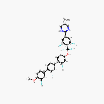 CCCCCc1cnc(-c2cc(F)c(C(F)(F)Oc3ccc(-c4ccc(-c5ccc(OC(F)(F)F)c(F)c5)c(F)c4)c(F)c3)c(F)c2)nc1